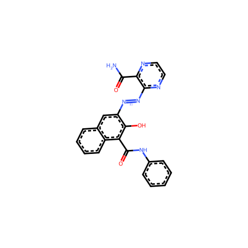 NC(=O)c1nccnc1/N=N/c1cc2ccccc2c(C(=O)Nc2ccccc2)c1O